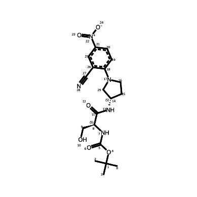 CC(C)(C)OC(=O)N[C@@H](CO)C(=O)N[C@H]1CCN(c2ccc([N+](=O)[O-])cc2C#N)C1